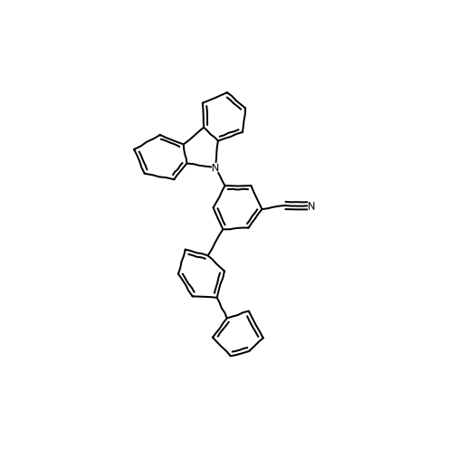 N#Cc1cc(-c2cccc(-c3ccccc3)c2)cc(-n2c3ccccc3c3ccccc32)c1